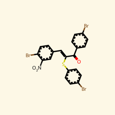 O=C(C(=Cc1ccc(Br)c([N+](=O)[O-])c1)Sc1ccc(Br)cc1)c1ccc(Br)cc1